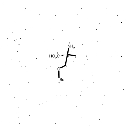 CC(C)(C)OC[C@](C)(N)C(=O)O